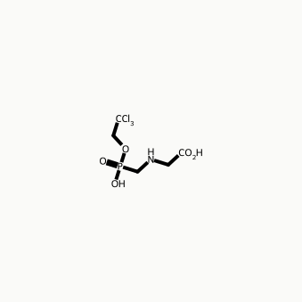 O=C(O)CNCP(=O)(O)OCC(Cl)(Cl)Cl